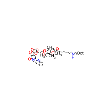 CCCCCCCCNCCCCCCCCC(=O)[C@]1(C)CCc2c(C)c(OC(=O)CCC(=O)O[C@]3(CC)C(=O)OCc4c3cc3n(c4=O)Cc4cc5ccccc5nc4-3)c(C)c(C)c2O1